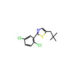 CC(C)(C)Cc1cnc(-c2cc(Cl)ccc2Cl)s1